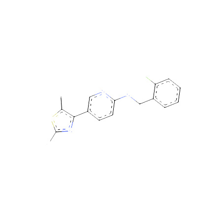 Cc1sc(C(F)(F)F)nc1-c1ccc(NCc2ccccc2F)nc1